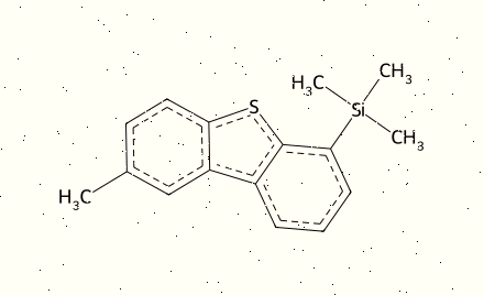 Cc1ccc2sc3c([Si](C)(C)C)cccc3c2c1